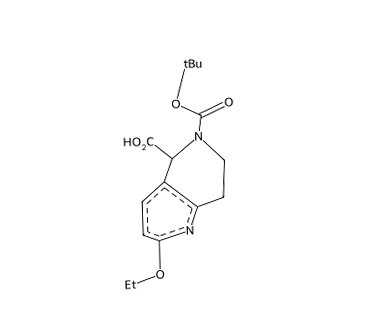 CCOc1ccc2c(n1)CCN(C(=O)OC(C)(C)C)C2C(=O)O